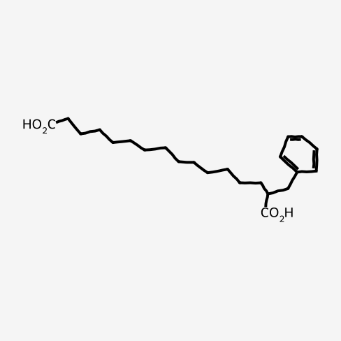 O=C(O)CCCCCCCCCCCCCC(Cc1ccccc1)C(=O)O